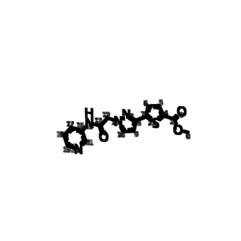 COC(=O)c1ccc(-c2ccn(CC(=O)Nc3cccnc3)n2)s1